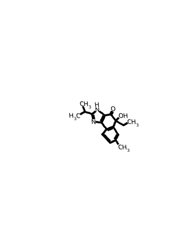 CCC1(O)C(=O)c2[nH]c(C(C)C)nc2-c2ccc(C)cc21